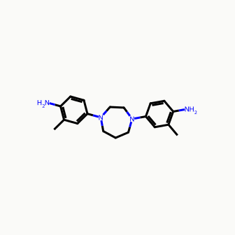 Cc1cc(N2CCCN(c3ccc(N)c(C)c3)CC2)ccc1N